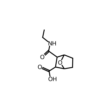 CCNC(=O)C1C2CCC(O2)C1C(=O)O